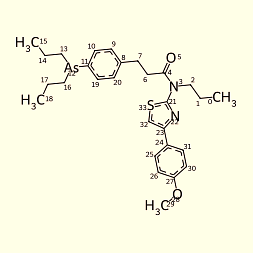 CCCN(C(=O)CCc1ccc([As](CCC)CCC)cc1)c1nc(-c2ccc(OC)cc2)cs1